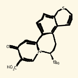 CC(C)(C)[C@@H]1Cc2c(ccc3sccc23)-c2cc(=O)c(C(=O)O)cn21